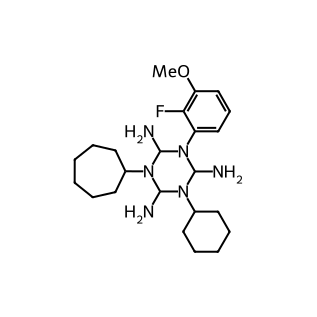 COc1cccc(N2C(N)N(C3CCCCCC3)C(N)N(C3CCCCC3)C2N)c1F